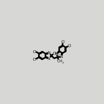 CC1(CC2(C)N=c3cc(Cl)c(Cl)cc3=N2)N=c2cc(Cl)c(Cl)cc2=N1